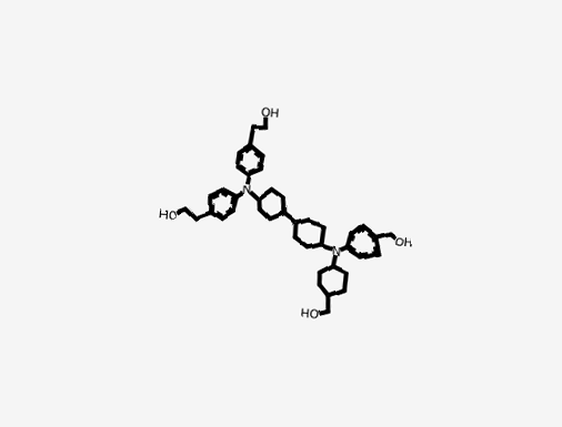 OCCc1ccc(N(c2ccc(CCO)cc2)C2CCC(C3CCC(N(c4ccc(CO)cc4)C4CCC(CO)CC4)CC3)CC2)cc1